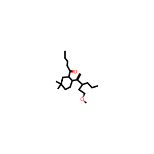 C=C(C(CCC)CCOC)C1CCC(C)(C)CC1C(=O)CCCC